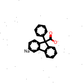 O=C([O-])C1(c2ccccc2)c2ccccc2-c2ccccc21.[Na+]